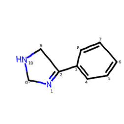 [C]1N=C(c2ccccc2)CN1